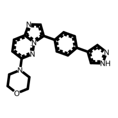 c1cc(-c2cnc3ccc(N4CCOCC4)nn23)ccc1-c1cn[nH]c1